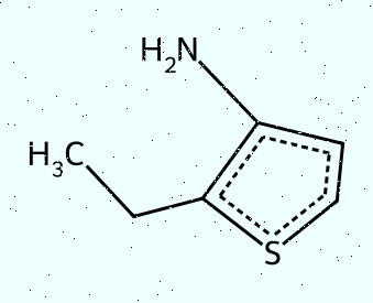 CCc1sccc1N